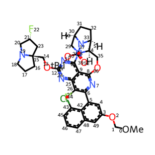 COCOc1cc(-c2nc3c4c(nc(OC[C@@]56CCCN5C[C@H](F)C6)nc4c2F)N2C[C@H]4CC[C@@H]([C@H]2CO3)N4C(=O)OC(C)(C)C)c2c(Cl)cccc2c1